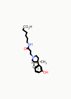 C[C@H]1CN(CCC(=O)NCCCCCC(=O)O)CC[C@@]1(C)c1cccc(O)c1